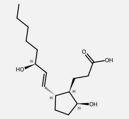 CCCCC[C@H](O)C=C[C@H]1CC[C@H](O)[C@@H]1CCC(=O)O